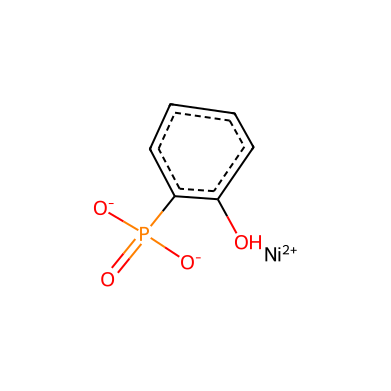 O=P([O-])([O-])c1ccccc1O.[Ni+2]